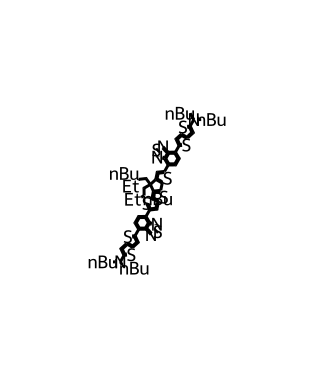 CCCCC(CC)CC1(CC(CC)CCCC)c2cc(-c3ccc(-c4cc5sc(N(CCCC)CCCC)cc5s4)c4nsnc34)sc2-c2sc3cc(-c4ccc(-c5cc6sc(N(CCCC)CCCC)cc6s5)c5nsnc45)sc3c21